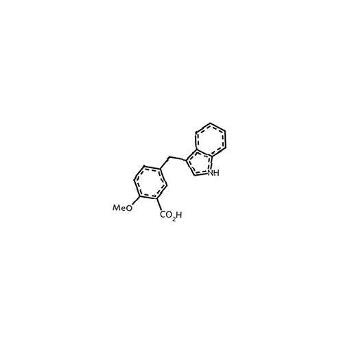 COc1ccc(Cc2c[nH]c3ccccc23)cc1C(=O)O